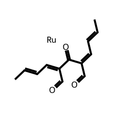 CC=CC=C(C=O)C(=O)C(C=O)=CC=CC.[Ru]